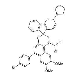 COc1cc2c(-c3ccc(Br)cc3)cc3c(c2cc1OC)C(C(Cl)Cl)=CC(c1ccccc1)(c1ccc(N2CCCC2)cc1)O3